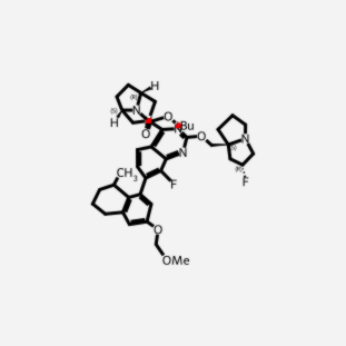 COCOc1cc2c(c(-c3ccc4c(N5C[C@H]6CC[C@@H](C5)N6C(=O)OC(C)(C)C)nc(OC[C@@]56CCCN5C[C@H](F)C6)nc4c3F)c1)C(C)CCC2